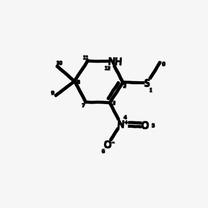 CSC1=C([N+](=O)[O-])CC(C)(C)CN1